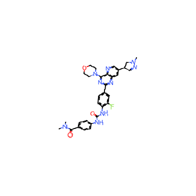 CN1CC(c2cnc3c(N4CCOCC4)nc(-c4ccc(NC(=O)Nc5ccc(C(=O)N(C)C)cc5)c(F)c4)nc3c2)C=N1